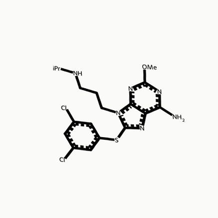 COc1nc(N)c2nc(Sc3cc(Cl)cc(Cl)c3)n(CCCNC(C)C)c2n1